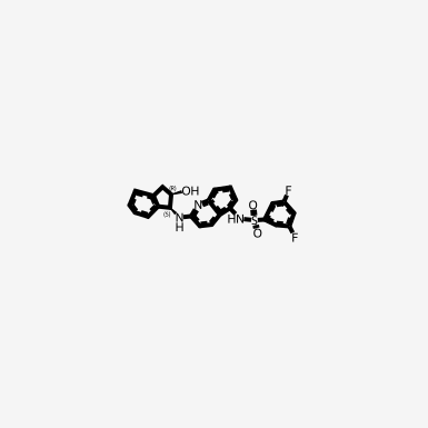 O=S(=O)(Nc1cccc2nc(N[C@H]3c4ccccc4C[C@H]3O)ccc12)c1cc(F)cc(F)c1